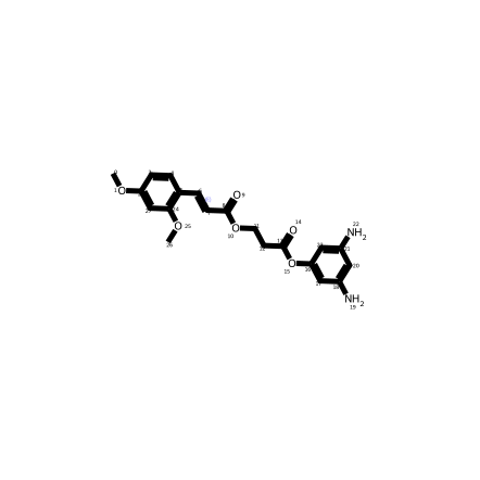 COc1ccc(/C=C/C(=O)OCCC(=O)Oc2cc(N)cc(N)c2)c(OC)c1